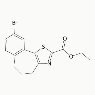 CCOC(=O)c1nc2c(s1)-c1cc(Br)ccc1CCC2